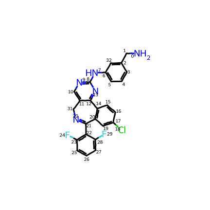 NCc1cccc(Nc2ncc3c(n2)-c2ccc(Cl)cc2C(c2c(F)cccc2F)=NC3)c1